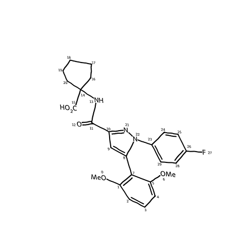 COc1cccc(OC)c1-c1cc(C(=O)NC2(C(=O)O)CCCCC2)nn1-c1ccc(F)cc1